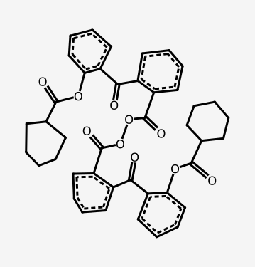 O=C(OOC(=O)c1ccccc1C(=O)c1ccccc1OC(=O)C1CCCCC1)c1ccccc1C(=O)c1ccccc1OC(=O)C1CCCCC1